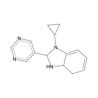 C1=CCC2NC(c3cncnc3)N(C3CC3)C2=C1